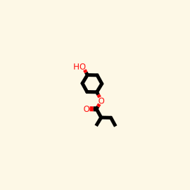 CCC(C)C(=O)OC1CCC(O)CC1